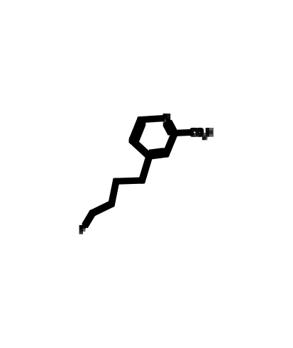 O=C(O)c1cc(CCCCF)ccn1